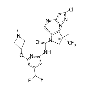 CN1CC(Oc2cc(C(F)F)cc(NC(=O)N3C[C@@](C)(C(F)(F)F)c4c3cnc3cc(Cl)nn43)n2)C1